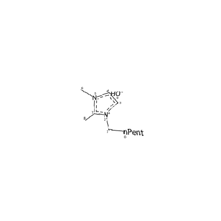 CCCCCC[n+]1ccn(C)c1C.[OH-]